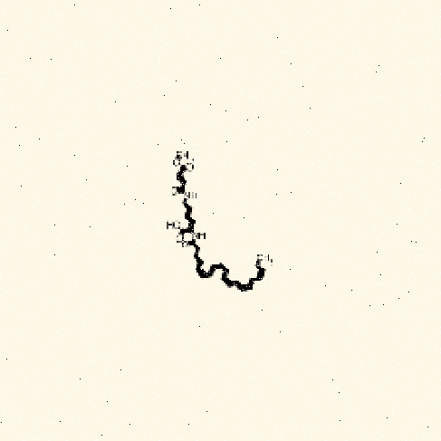 CC/C=C\C/C=C\C/C=C\C/C=C\C/C=C\CCCC(=O)NC(CCCCNC(=O)/C=C/C(=O)OC)C(=O)O